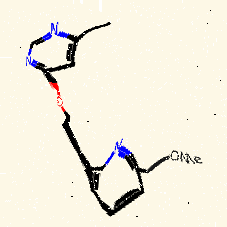 COc1cccc(CCOc2cc(C)ncn2)n1